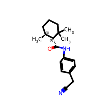 C[C@H]1CCCC(C)(C)[C@@H]1C(=O)Nc1ccc(CC#N)cc1